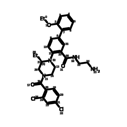 CCOc1ccccc1-c1ccc(N2CCN(C(=O)c3ccc(Cl)cc3Cl)C[C@H]2CC)c(C(=O)NCCN)c1